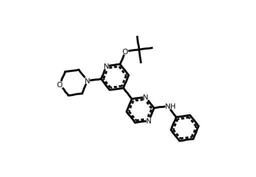 CC(C)(C)Oc1cc(-c2ccnc(Nc3ccccc3)n2)cc(N2CCOCC2)n1